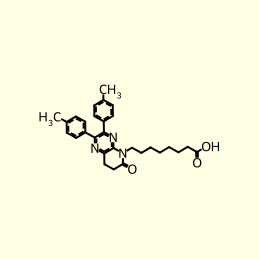 Cc1ccc(-c2nc3c(nc2-c2ccc(C)cc2)N(CCCCCCCC(=O)O)C(=O)CC3)cc1